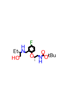 CC[C@H](CO)NCc1cc(F)ccc1O[C@@H](C)CNC(=O)OC(C)(C)C